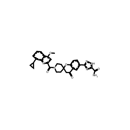 COc1cc(C(=O)N2CCC3(CC2)CC(=O)c2cc(-c4n[nH]c(C(N)=O)n4)ccc2O3)nc2c(C3CC3)cccc12